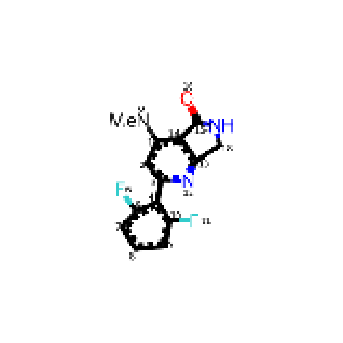 CNc1cc(-c2c(F)cccc2F)nc2c1C(=O)NC2